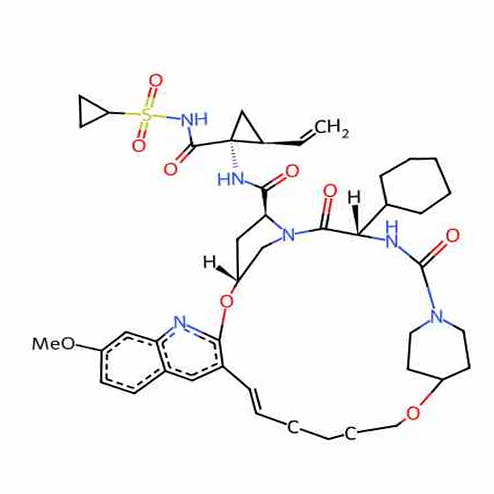 C=C[C@@H]1C[C@]1(NC(=O)[C@@H]1C[C@@H]2CN1C(=O)[C@H](C1CCCCC1)NC(=O)N1CCC(CC1)OCCCC/C=C/c1cc3ccc(OC)cc3nc1O2)C(=O)NS(=O)(=O)C1CC1